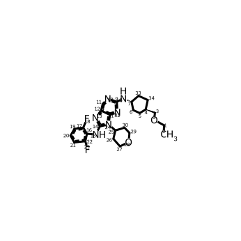 CCOC[C@H]1CC[C@H](Nc2ncc3nc(Nc4c(F)cccc4F)n(C4CCOCC4)c3n2)CC1